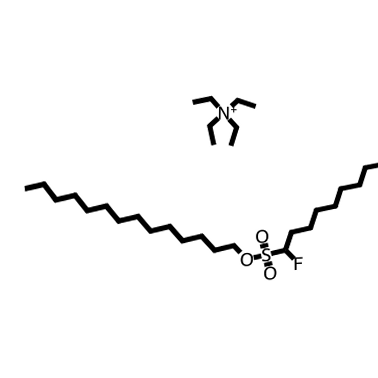 CCCCCCCCCCCCCCOS(=O)(=O)C(F)CCCCCCCC.CC[N+](CC)(CC)CC